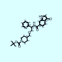 CC(C)(C)OC(=O)N1CCC(COCC(NC(=O)c2ccc3c(Cl)c[nH]c3c2)c2ccccn2)CC1